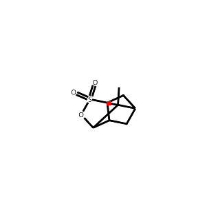 CC1(C)C2CC3C1OS(=O)(=O)C3C2